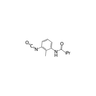 Cc1c(N=C=O)cccc1NC(=O)C(C)C